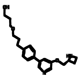 OCCCOCCCc1ccc(-c2cncc(OC[C@@H]3CCN3)c2)cc1